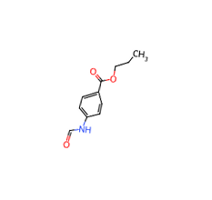 CCCOC(=O)c1ccc(NC=O)cc1